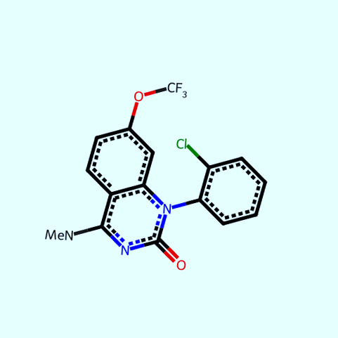 CNc1nc(=O)n(-c2ccccc2Cl)c2cc(OC(F)(F)F)ccc12